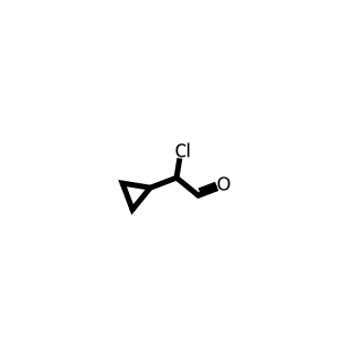 O=CC(Cl)C1CC1